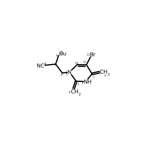 C=C1NC(=C)N(CC(C#N)C(C)CC)C=C1Br